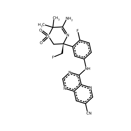 CC1(C)C(N)=N[C@](CF)(c2cc(Nc3ncnc4cc(C#N)cnc34)ccc2F)CS1(=O)=O